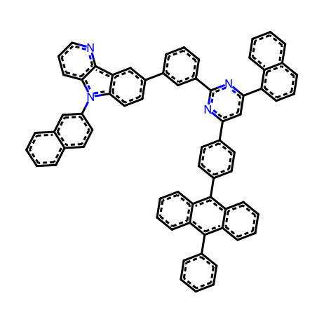 c1ccc(-c2c3ccccc3c(-c3ccc(-c4cc(-c5cccc6ccccc56)nc(-c5cccc(-c6ccc7c(c6)c6ncccc6n7-c6ccc7ccccc7c6)c5)n4)cc3)c3ccccc23)cc1